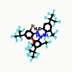 Cc1cc(C(F)(C(F)(F)F)C(F)(F)F)cc(C(F)(F)F)c1NN(Nc1c(Br)cc(C(F)(C(F)(F)F)C(F)(F)F)cc1OC(F)(F)F)c1c(Br)cc(C(F)(C(F)(F)F)C(F)(F)F)cc1C(F)(F)F